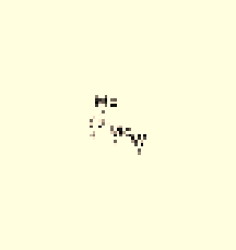 [Ca].[Mo].[Mo].[W]